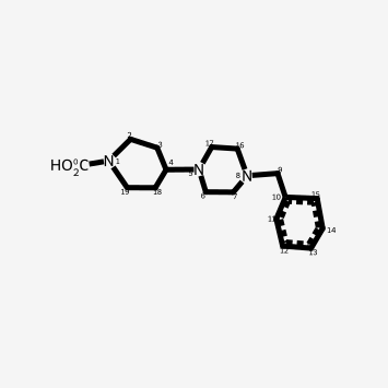 O=C(O)N1CCC(N2CCN(Cc3ccccc3)CC2)CC1